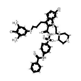 Cc1cc(OCCCc2c(C(=O)NS(=O)(=O)c3ccc(NC(=O)c4ccccc4)cc3)n(CCN3CCOCC3)c3cc(Cl)ccc23)cc(C)c1Cl